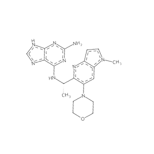 C[C@H](Nc1nc(N)nc2[nH]cnc12)c1nc2ccn(C)c2cc1N1CCOCC1